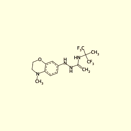 C=C(NNc1ccc2c(c1)OCCN2C)NC(C)(C(F)(F)F)C(F)(F)F